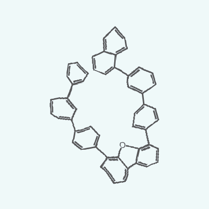 c1ccc(-c2cccc(-c3ccc(-c4cccc5c4oc4c(-c6ccc(-c7cccc(-c8cccc9ccccc89)c7)cc6)cccc45)cc3)c2)cc1